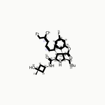 CC(/C=C\C=C(\Cl)CF)[C@H]1[C@H](C(=O)N[C@H]2C[C@@](C)(O)C2)N[C@H](CC(C)(C)C)[C@]12C(=O)Oc1cc(F)ccc12